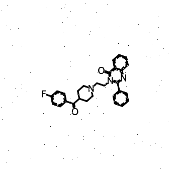 O=C(c1ccc(F)cc1)C1CCN(CCn2c(-c3ccccc3)nc3ccccc3c2=O)CC1